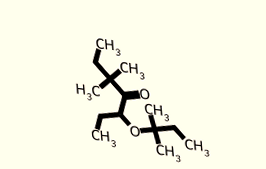 CCC(OC(C)(C)CC)C(=O)C(C)(C)CC